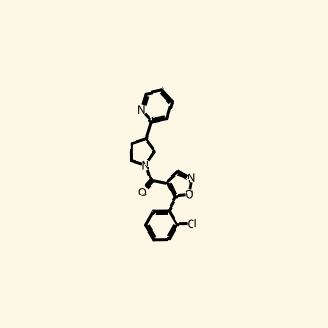 O=C(c1cnoc1-c1ccccc1Cl)N1CCC(c2ccccn2)C1